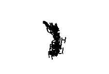 CCCNC(=O)c1ncccc1Oc1ccc(NC(=O)c2nnn(-c3cc(C(F)(F)F)ccc3Cl)c2C(F)(F)F)cc1F